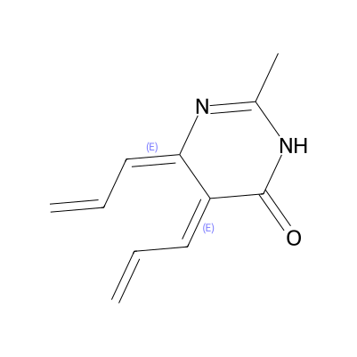 C=C/C=c1/nc(C)[nH]c(=O)/c1=C/C=C